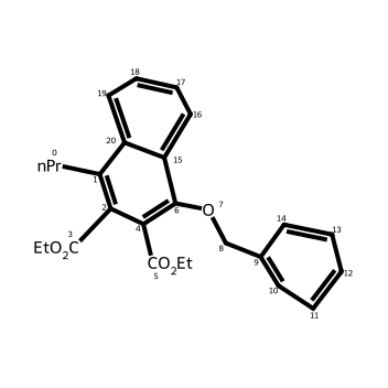 CCCc1c(C(=O)OCC)c(C(=O)OCC)c(OCc2ccccc2)c2ccccc12